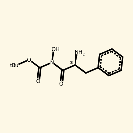 CC(C)(C)OC(=O)N(O)C(=O)[C@@H](N)Cc1ccccc1